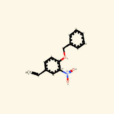 C=Cc1ccc(OCc2ccccc2)c([N+](=O)[O-])c1